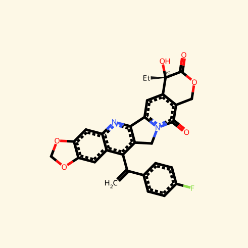 C=C(c1ccc(F)cc1)c1c2c(nc3cc4c(cc13)OCO4)-c1cc3c(c(=O)n1C2)COC(=O)[C@]3(O)CC